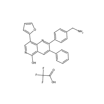 NCc1ccc(-c2nc3c(-c4ccco4)cnc(O)c3cc2-c2ccccc2)cc1.O=C(O)C(F)(F)F